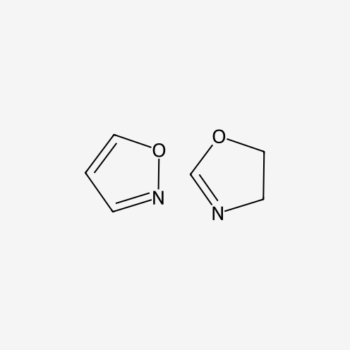 C1=NCCO1.c1cnoc1